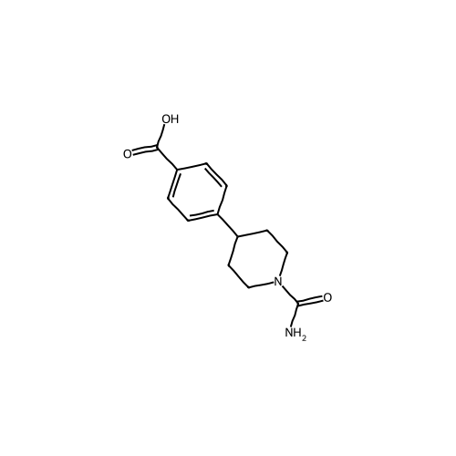 NC(=O)N1CCC(c2ccc(C(=O)O)cc2)CC1